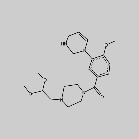 COc1ccc(C(=O)N2CCN(CC(OC)OC)CC2)cc1N1C=CCNC1